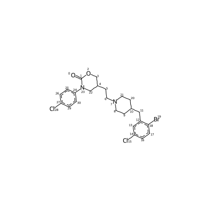 O=C1OCC(CCN2CCC(Cc3cc(Cl)ccc3Br)CC2)CN1c1ccc(Cl)cc1